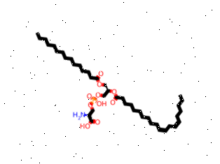 CCCCC/C=C\C/C=C\CCCCCCCCCC(=O)O[C@H](COC(=O)CCCCCCCCCCCCCC)COP(=O)(O)OC[C@H](N)C(=O)O